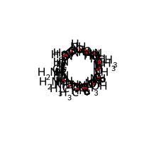 CCCC[C@H]1C(=O)N(C)[C@@H](CCCC)C(=O)N[C@@H](CCCNC(=N)N)C(=O)N[C@H](C(=O)NCC(N)=O)CSCC(=O)N[C@@H](Cc2ccccc2)C(=O)N(C)[C@@H](C)C(=O)N[C@@H](CC(N)=O)C(=O)N2CCC[C@H]2C(=O)N[C@@H](Cc2cnc[nH]2)C(=O)N[C@@H](CC(C)C)C(=O)N2C[C@H](F)C[C@H]2C(=O)N[C@@H](Cc2c[nH]c3ccccc23)C(=O)N[C@@H](CCO)C(=O)N[C@@H](Cc2c[nH]c3ccccc23)C(=O)N1C